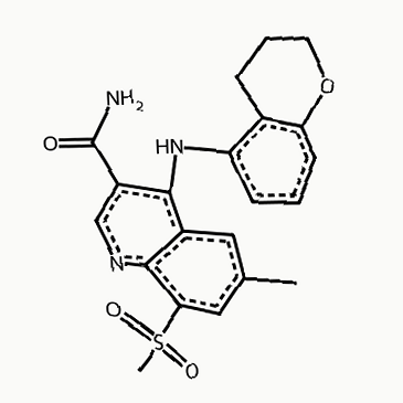 Cc1cc(S(C)(=O)=O)c2ncc(C(N)=O)c(Nc3cccc4c3CCCO4)c2c1